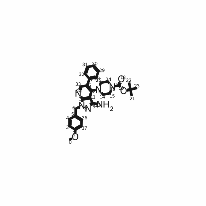 COc1ccc(Cn2nc(N)c3c(N4CCN(C(=O)OC(C)(C)C)CC4)c(-c4ccccc4)cnc32)cc1